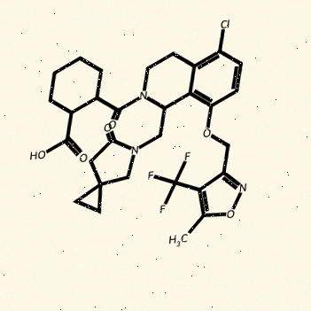 Cc1onc(COc2ccc(Cl)c3c2C(CN2CC4(CC4)CC2=O)N(C(=O)C2CCCCC2C(=O)O)CC3)c1C(F)(F)F